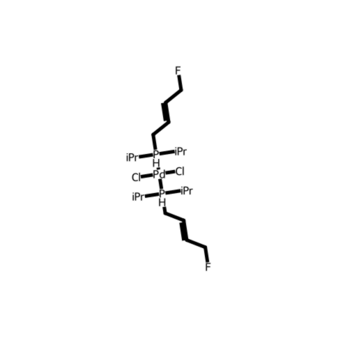 CC(C)[PH](CC=CCF)(C(C)C)[Pd]([Cl])([Cl])[PH](CC=CCF)(C(C)C)C(C)C